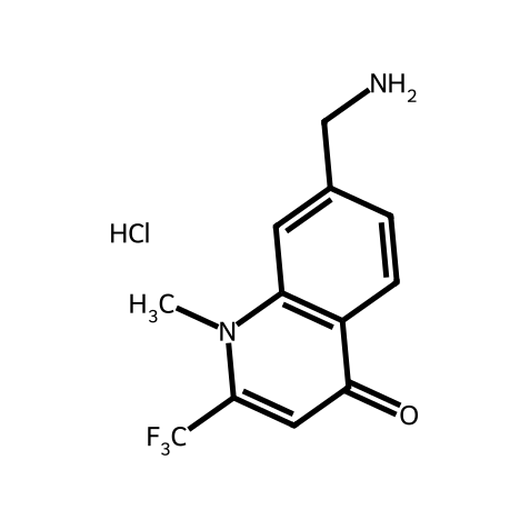 Cl.Cn1c(C(F)(F)F)cc(=O)c2ccc(CN)cc21